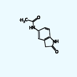 [CH2]C(=O)Nc1ccc2c(c1)CC(=O)N2